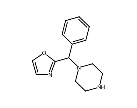 c1ccc(C(c2ncco2)N2CCNCC2)cc1